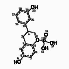 CC(Cc1cc(O)ccc1OP(=O)(O)O)c1cccc(O)c1